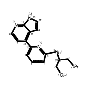 CC(C)C[C@@H](CO)Nc1cccc(-c2ccnc3[nH]ccc23)n1